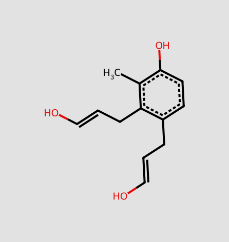 Cc1c(O)ccc(CC=CO)c1CC=CO